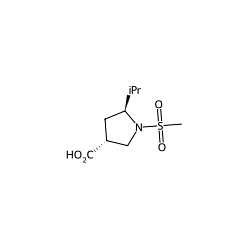 CC(C)[C@@H]1C[C@@H](C(=O)O)CN1S(C)(=O)=O